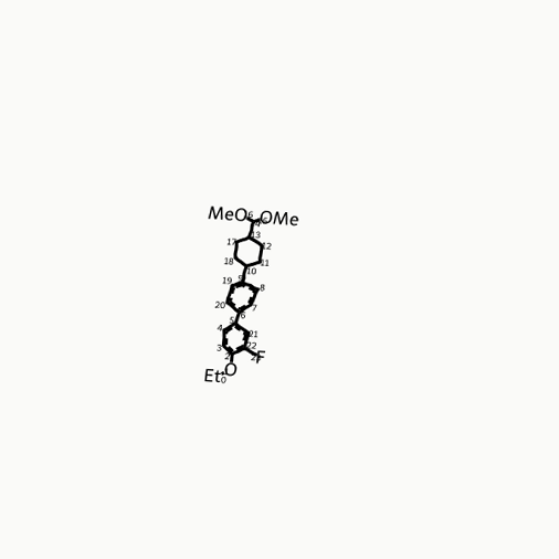 CCOc1ccc(-c2ccc(C3CCC(C(OC)OC)CC3)cc2)cc1F